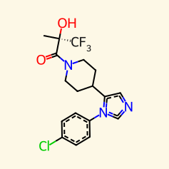 C[C@@](O)(C(=O)N1CCC(c2cncn2-c2ccc(Cl)cc2)CC1)C(F)(F)F